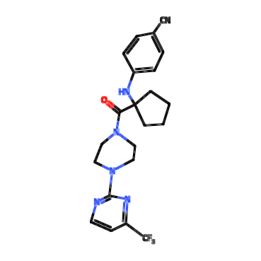 N#Cc1ccc(NC2(C(=O)N3CCN(c4nccc(C(F)(F)F)n4)CC3)CCCC2)cc1